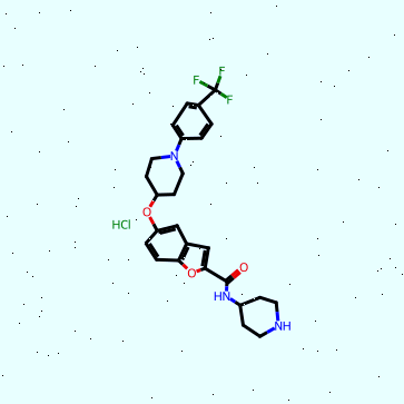 Cl.O=C(NC1CCNCC1)c1cc2cc(OC3CCN(c4ccc(C(F)(F)F)cc4)CC3)ccc2o1